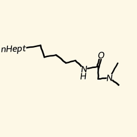 CCCCCCCCCCCCNC(=O)CN(C)C